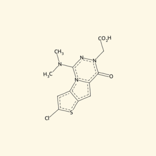 CN(C)c1nn(CC(=O)O)c(=O)c2cc3sc(Cl)cc3n12